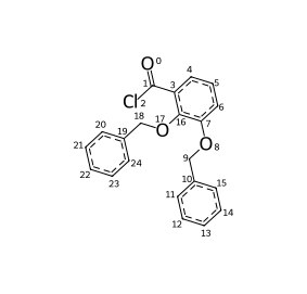 O=C(Cl)c1cccc(OCc2ccccc2)c1OCc1ccccc1